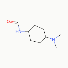 CN(C)C1CCC(NC=O)CC1